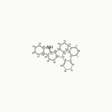 C1=C(c2ccccc2)C(C2c3ccccc3-c3c2ccc2c3[nH]c3ccccc32)=CCC1